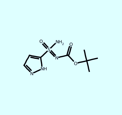 CC(C)(C)OC(=O)N=S(N)(=O)c1ccn[nH]1